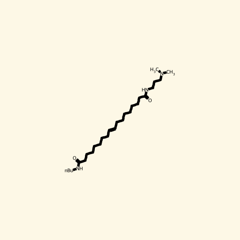 CCCCNC(=O)CCCCCCC/C=C/CCCCCCCC(=O)NCCCN(C)C